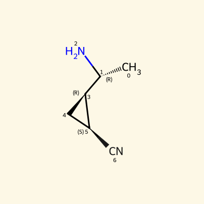 C[C@@H](N)[C@@H]1C[C@@H]1C#N